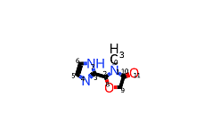 CN1[C](c2ncc[nH]2)OCC1=O